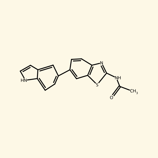 CC(=O)Nc1nc2ccc(-c3ccc4[nH]ccc4c3)cc2s1